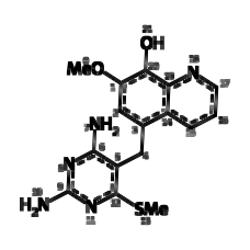 COc1cc(Cc2c(N)nc(N)nc2SC)c2cccnc2c1O